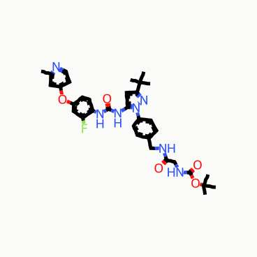 Cc1cc(Oc2ccc(NC(=O)Nc3cc(C(C)(C)C)nn3-c3ccc(CNC(=O)CNC(=O)OC(C)(C)C)cc3)c(F)c2)ccn1